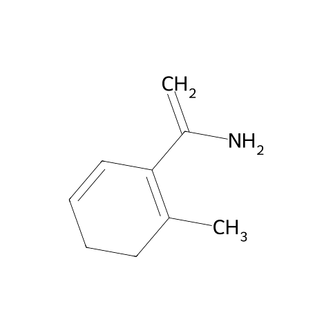 C=C(N)C1=C(C)CCC=C1